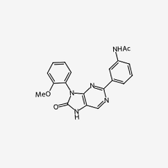 COc1ccccc1-n1c(=O)[nH]c2cnc(-c3cccc(NC(C)=O)c3)nc21